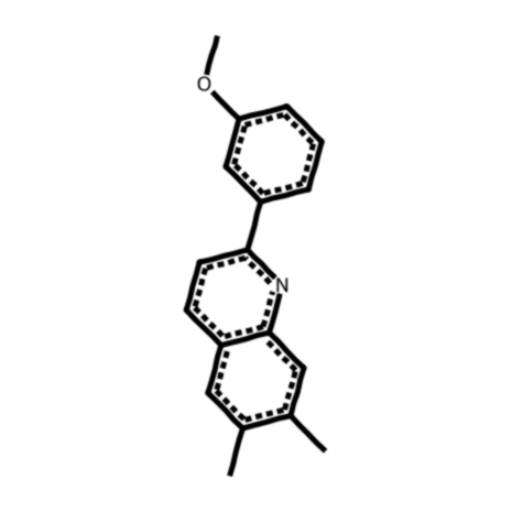 COc1cccc(-c2ccc3cc(C)c(C)cc3n2)c1